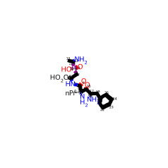 CCC[C@](N)(C(=O)NC(CP(=O)(O)C(C)N)C(=O)O)C(=O)[C@@H](N)Cc1ccccc1